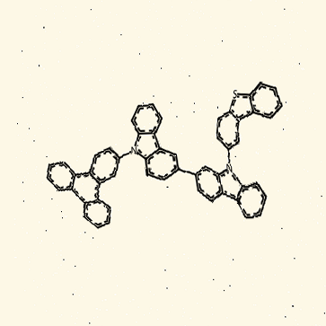 c1ccc2c(c1)sc1ccc(-n3c4ccccc4c4ccc(-c5ccc6c(c5)c5ccccc5n6-c5ccc6c7ccccc7c7ccccc7c6c5)cc43)cc12